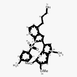 COc1cc2c(-c3cc4c(CCCO)ccnc4n3S(=O)(=O)c3ccc(C)cc3)cn(C)c2cc1OC